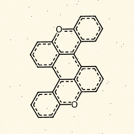 c1ccc2c(c1)oc1cccc3c1c2c1cccc2oc4ccccc4c3c21